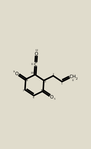 C=CCC1C(=O)C=CC(=O)C1=C=O